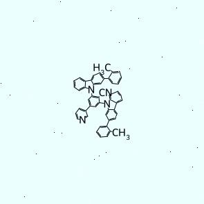 Cc1ccccc1-c1ccc2c3ccccc3n(-c3cc(-c4cccnc4)cc(-n4c5ccccc5c5ccc(-c6ccccc6C)cc54)c3C#N)c2c1